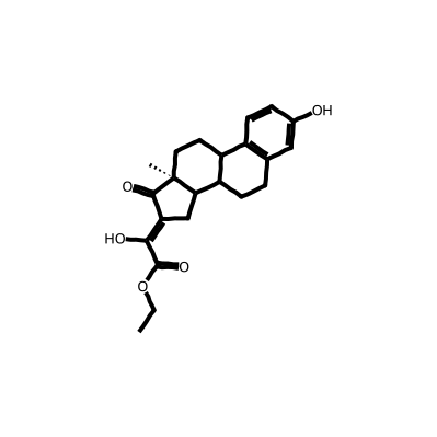 CCOC(=O)/C(O)=C1\CC2C3CCc4cc(O)ccc4C3CC[C@]2(C)C1=O